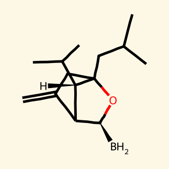 B[C@@H]1OC2(CC(C)C)CC(=C)C1[C@@H]2C(C)C